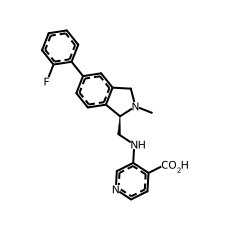 CN1Cc2cc(-c3ccccc3F)ccc2[C@@H]1CNc1cnccc1C(=O)O